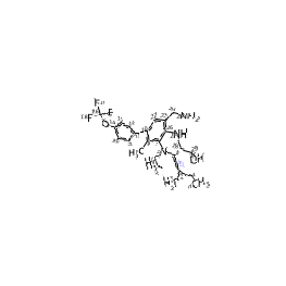 CC/C(C)=C/N(C)c1c(C)c(-c2ccc(OC(F)(F)F)cc2)cc(CN)c1NCCO